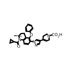 C[C@H]1CCc2c(ccc(-n3cc(C4=CCN(C(=O)O)CC4)cn3)c2Oc2ccccc2)N1C(=O)C1CC1